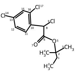 CCC(C)(C)OC(=O)C(Cl)c1ccc(Cl)cc1Cl